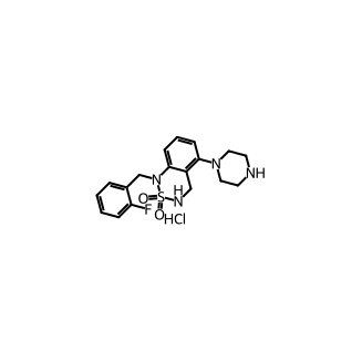 Cl.O=S1(=O)NCc2c(N3CCNCC3)cccc2N1Cc1ccccc1F